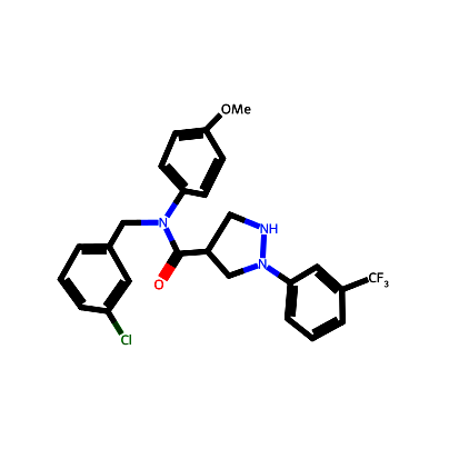 COc1ccc(N(Cc2cccc(Cl)c2)C(=O)C2CNN(c3cccc(C(F)(F)F)c3)C2)cc1